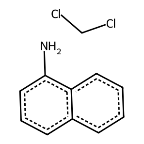 ClCCl.Nc1cccc2ccccc12